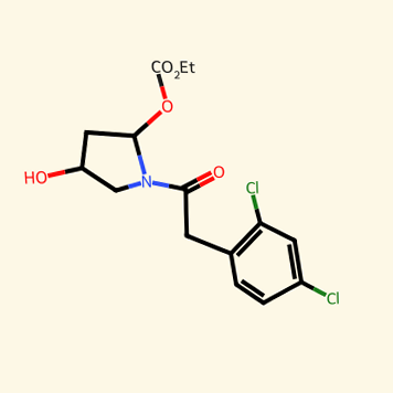 CCOC(=O)OC1CC(O)CN1C(=O)Cc1ccc(Cl)cc1Cl